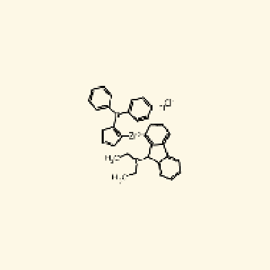 CCP(CC)C1c2ccccc2-c2ccc[c]([Zr+2][C]3=C(B(c4ccccc4)c4ccccc4)CC=C3)c21.[Cl-].[Cl-]